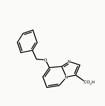 O=C(O)c1cnc2c(OCc3ccccc3)cccn12